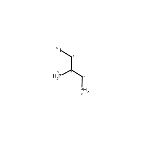 PCC(P)CI